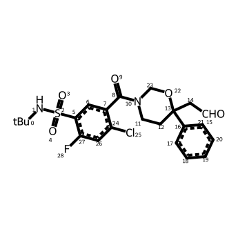 CC(C)(C)NS(=O)(=O)c1cc(C(=O)N2CCC(CC=O)(c3ccccc3)OC2)c(Cl)cc1F